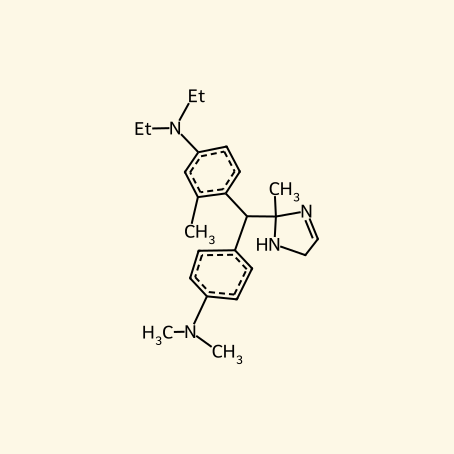 CCN(CC)c1ccc(C(c2ccc(N(C)C)cc2)C2(C)N=CCN2)c(C)c1